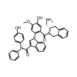 COc1cc(-n2cc(C(=O)N(c3ccccc3)c3ccc(O)cc3)c3ccccc32)c(C(=O)N2Cc3ccccc3C[C@H]2CN)cc1O